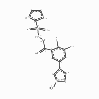 Cn1cnc(-c2cc(Cl)c(F)c(C(=O)NNS(=O)(=O)c3nccs3)c2)c1